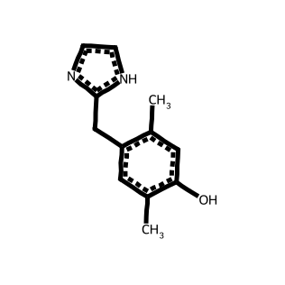 Cc1cc(Cc2ncc[nH]2)c(C)cc1O